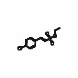 CCOS(=O)(=O)C=Cc1ccc(Cl)cc1